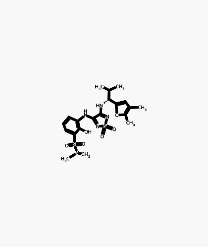 Cc1cc([C@H](NC2=NS(=O)(=O)N=C2Nc2cccc(S(=O)(=O)N(C)C)c2O)C(C)C)oc1C